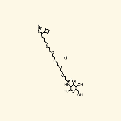 N#[N+]/N=C(/CCCSSCCOCCOCCOCCOCCC(=O)NC1C(O)OC(CO)C(O)C1O)C1CCC1.[Cl-]